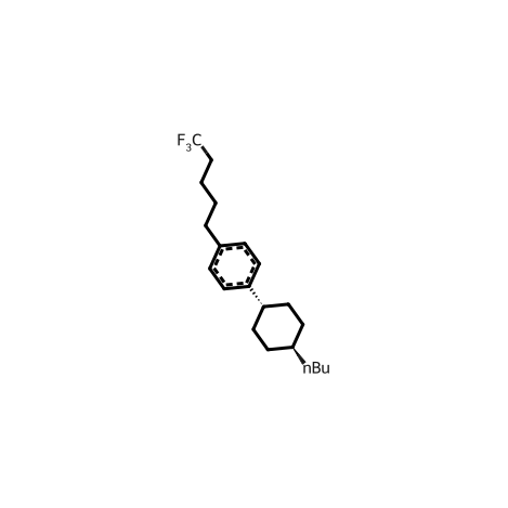 CCCC[C@H]1CC[C@H](c2ccc(CCCCC(F)(F)F)cc2)CC1